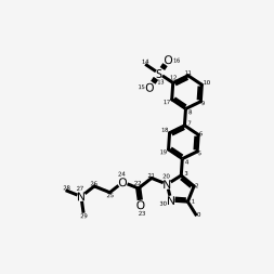 Cc1cc(-c2ccc(-c3cccc(S(C)(=O)=O)c3)cc2)n(CC(=O)OCCN(C)C)n1